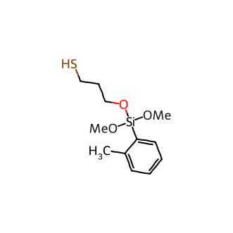 CO[Si](OC)(OCCCS)c1ccccc1C